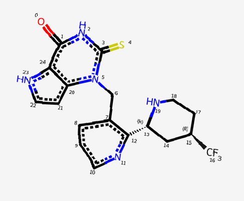 O=c1[nH]c(=S)n(Cc2cccnc2[C@H]2C[C@H](C(F)(F)F)CCN2)c2cc[nH]c12